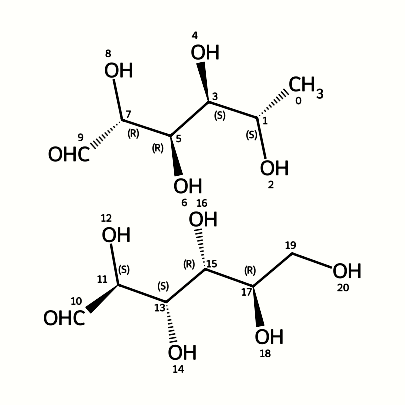 C[C@H](O)[C@H](O)[C@@H](O)[C@@H](O)C=O.O=C[C@@H](O)[C@@H](O)[C@H](O)[C@H](O)CO